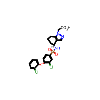 O=C(O)Cn1ncc2c1CCC[C@H]2NS(=O)(=O)c1ccc(Oc2ccccc2Cl)c(Cl)c1